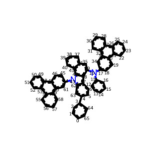 c1ccc(-c2ccc3c4c(N(c5ccccc5)c5ccc6c7ccccc7c7ccccc7c6c5)cc5ccccc5c4n(-c4ccc5c6ccccc6c6ccccc6c5c4)c3c2)cc1